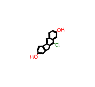 Oc1ccc2c(c1)Cc1c-2cc2ccc(O)cc2c1Cl